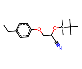 CCc1ccc(OCC(C#N)O[Si](C)(C)C(C)(C)C)cc1